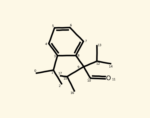 CC(C)c1ccccc1C([C]=O)(C(C)C)C(C)C